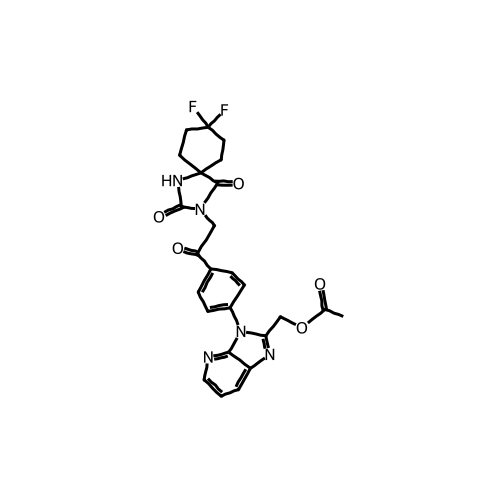 CC(=O)OCc1nc2cccnc2n1-c1ccc(C(=O)CN2C(=O)NC3(CCC(F)(F)CC3)C2=O)cc1